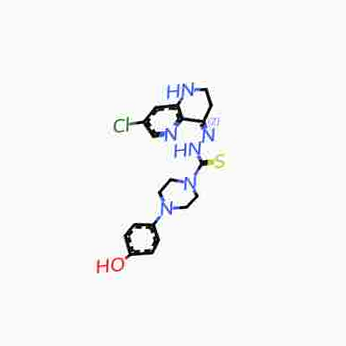 Oc1ccc(N2CCN(C(=S)N/N=C3/CCNc4cc(Cl)cnc43)CC2)cc1